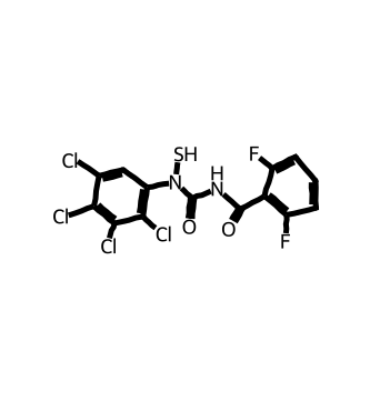 O=C(NC(=O)N(S)c1cc(Cl)c(Cl)c(Cl)c1Cl)c1c(F)cccc1F